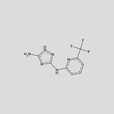 Nc1nc(Nc2cccc(C(F)(F)F)n2)n[nH]1